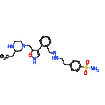 NS(=O)(=O)c1ccc(CCNN=Cc2ccccc2C2=CNOC2CN2CCNC(CC(=O)O)C2)cc1